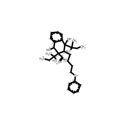 CCC(C)(C)C1(O)c2ccccc2C(O)C(C(N)=O)(C(C)(C)CC)C1CCCCOc1ccccc1